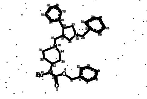 CCC(C)N(C(=O)OCc1ccccc1)C1CCN(CC2CN(Cc3ccccc3)CC2c2ccccc2)CC1